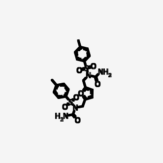 Cc1ccc(S(=O)(=O)N(Cc2ccc(CN(C(N)=O)S(=O)(=O)c3ccc(C)cc3)o2)C(N)=O)cc1